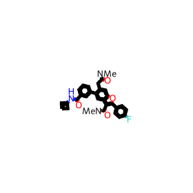 CNC(=O)Cc1cc2oc(-c3ccc(F)cc3)c(C(=O)NC)c2cc1-c1cccc(C(=O)NC23CC(C2)C3)c1